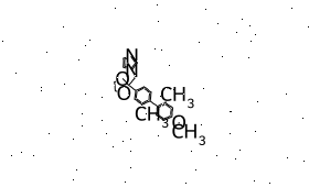 COc1ccc(-c2ccc(C3(Cn4ccnc4)OCCO3)cc2C)c(C)c1